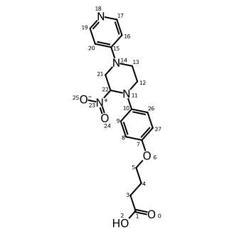 O=C(O)CCCOc1ccc(N2CCN(c3ccncc3)CC2[N+](=O)[O-])cc1